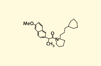 COc1ccc2cc(C(C)C(=O)N3CCCCC3CCCC3CCCCC3)ccc2c1